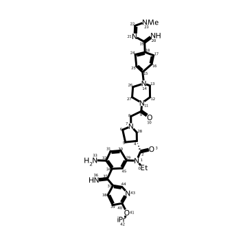 CCN(C(=O)[C@@H]1CCN(CC(=O)N2CCN(c3ccc(C(=N)/N=C\NC)cc3)CC2)C1)c1ccc(N)c(C(=N)c2ccc(OC(C)C)nc2)c1